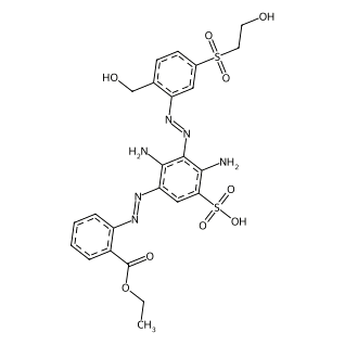 CCOC(=O)c1ccccc1/N=N/c1cc(S(=O)(=O)O)c(N)c(/N=N/c2cc(S(=O)(=O)CCO)ccc2CO)c1N